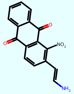 NC=Cc1ccc2c(c1[N+](=O)[O-])C(=O)c1ccccc1C2=O